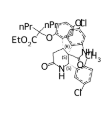 CCCC(CCC)(Oc1ccc(Cl)cc1[C@H]1CC(=O)N[C@@H](c2cc(Cl)ccc2C)[C@]12C(=O)Nc1cc(Cl)ccc12)C(=O)OCC